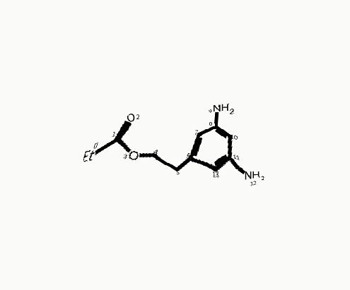 CCC(=O)OCCc1cc(N)cc(N)c1